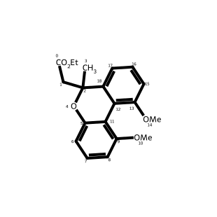 CCOC(=O)CC1(C)Oc2cccc(OC)c2-c2c(OC)cccc21